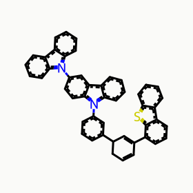 C1=CC(c2cccc3c2sc2ccccc23)=CC(c2cccc(-n3c4ccccc4c4cc(-n5c6ccccc6c6ccccc65)ccc43)c2)C1